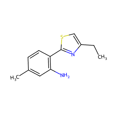 CCc1csc(-c2ccc(C)cc2N)n1